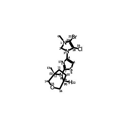 CN1CN(c2csc(N3[C@@H]4CC[C@@]3(C)COC4)n2)C(Cl)=C1Br